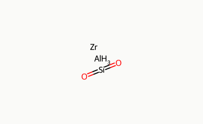 O=[Si]=O.[AlH3].[Zr]